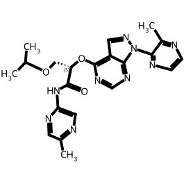 Cc1cnc(NC(=O)[C@H](COC(C)C)Oc2ncnc3c2cnn3-c2nccnc2C)cn1